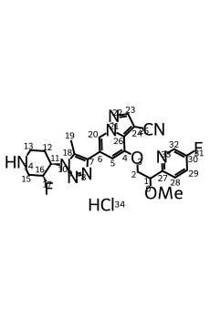 COC(COc1cc(-c2nnn([C@@H]3CCNC[C@@H]3F)c2C)cn2ncc(C#N)c12)c1ccc(F)cn1.Cl